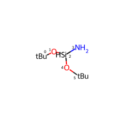 CC(C)(C)O[SiH](N)OC(C)(C)C